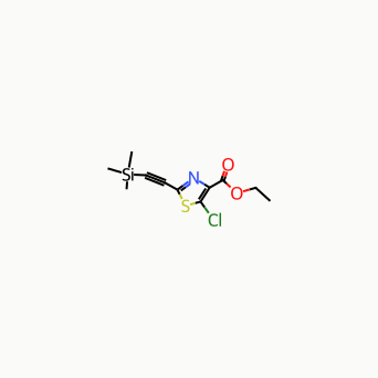 CCOC(=O)c1nc(C#C[Si](C)(C)C)sc1Cl